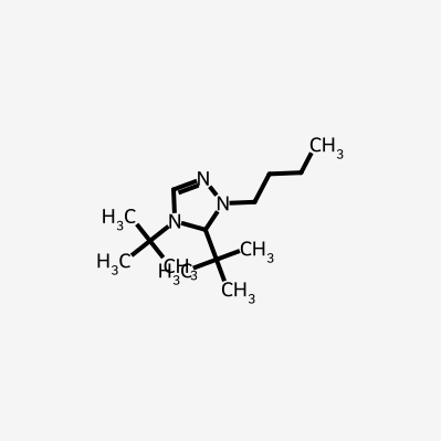 CCCCN1N=CN(C(C)(C)C)C1C(C)(C)C